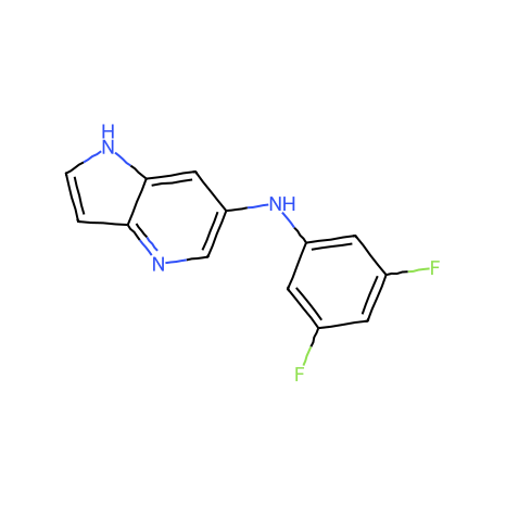 Fc1cc(F)cc(Nc2cnc3cc[nH]c3c2)c1